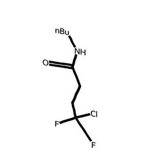 CCCCNC(=O)CCC(F)(F)Cl